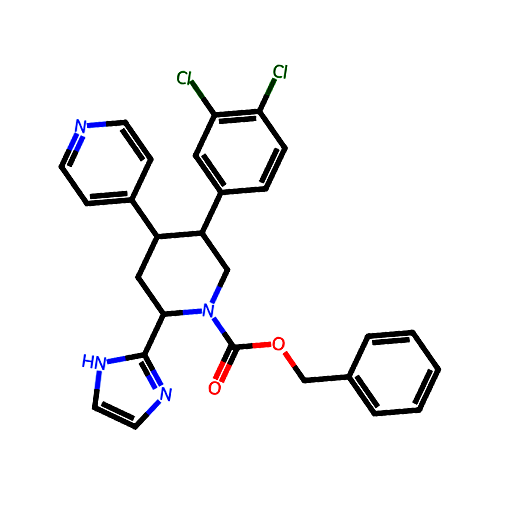 O=C(OCc1ccccc1)N1CC(c2ccc(Cl)c(Cl)c2)C(c2ccncc2)CC1c1ncc[nH]1